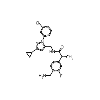 CC(C(=O)NCc1cc(C2CC2)nn1-c1cccc(Cl)c1)c1ccc(CN)c(F)c1